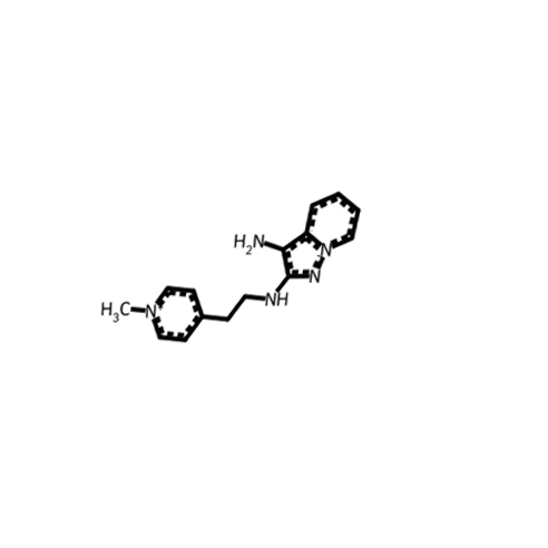 C[n+]1ccc(CCNc2nn3ccccc3c2N)cc1